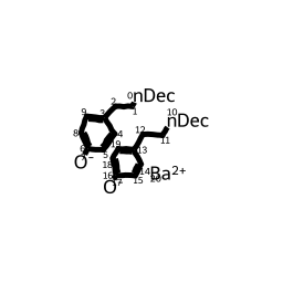 CCCCCCCCCCCCc1ccc([O-])cc1.CCCCCCCCCCCCc1ccc([O-])cc1.[Ba+2]